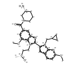 COc1ccc2cc(-c3nc4cc(C(=O)N5CCC[C@@H](N)C5)cc(OC)c4n3CC[S@@+](C)[O-])n(CC3CC3)c2n1